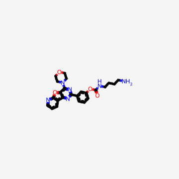 NCCCCNC(=O)Oc1cccc(-c2nc(N3CCOCC3)c3oc4ncccc4c3n2)c1